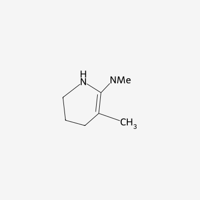 CNC1=C(C)CCCN1